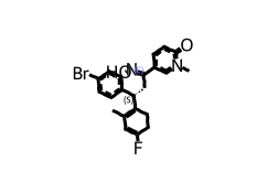 CC1=C([C@@H](C/C(=N\O)c2ccc(=O)n(C)c2)c2ccc(Br)cc2)CCC(F)=C1